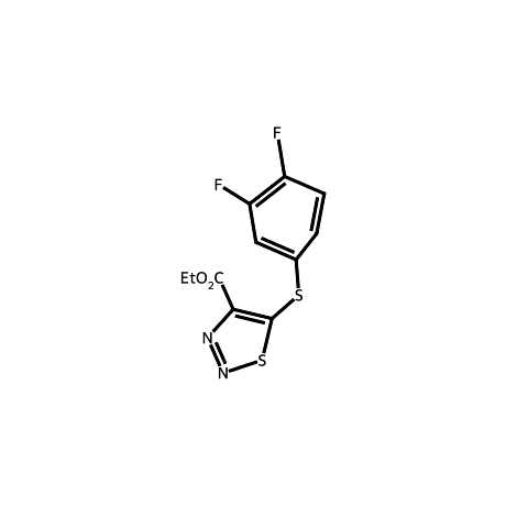 CCOC(=O)c1nnsc1Sc1ccc(F)c(F)c1